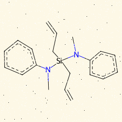 C=CC[Si](CC=C)(N(C)c1ccccc1)N(C)c1ccccc1